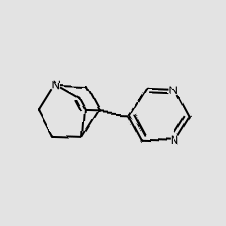 C1=C(c2cncnc2)C2CCN1CC2